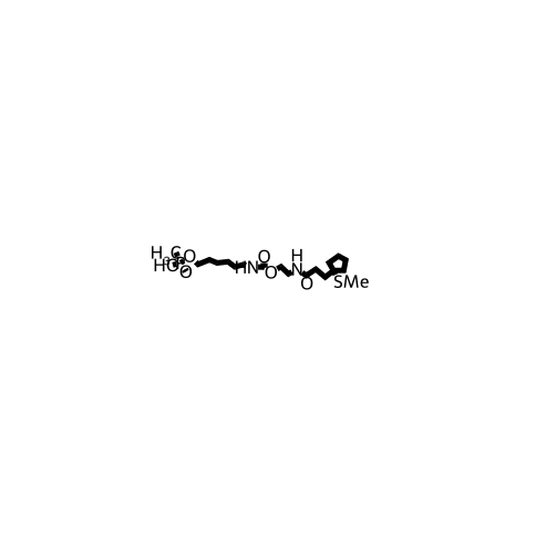 CSC1(CCC(=O)NCCOC(=O)NCCCCCCOP(C)(=O)O)CCCC1